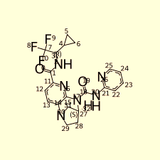 O=C(N[C@H](C1CC1)C(F)(F)F)c1ccc2c(n1)N(C(=O)Nc1ccccn1)[C@H]1CCN2C1